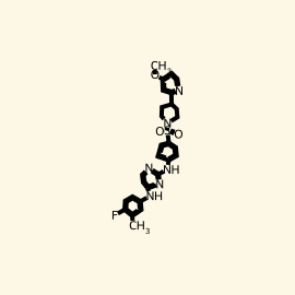 COc1ccnc(C2CCN(S(=O)(=O)c3ccc(Nc4nccc(Nc5ccc(F)c(C)c5)n4)cc3)CC2)c1